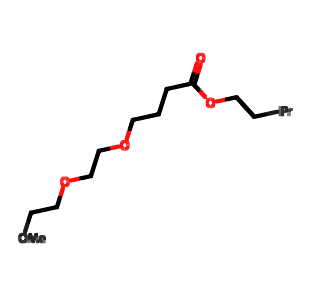 COCCOCCOCCCC(=O)OCCC(C)C